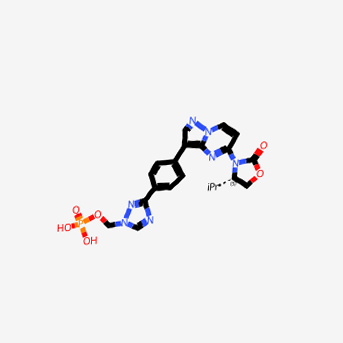 CC(C)[C@H]1COC(=O)N1c1ccn2ncc(-c3ccc(-c4ncn(COP(=O)(O)O)n4)cc3)c2n1